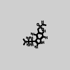 [2H]c1[nH]c2c([2H])c([2H])c(CS(=O)(=O)NC)c([2H])c2c1C([2H])([2H])C([2H])([2H])N(C)C